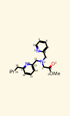 COC(=O)CN(Cc1ccccn1)Cc1cccc(CC(C)C)n1